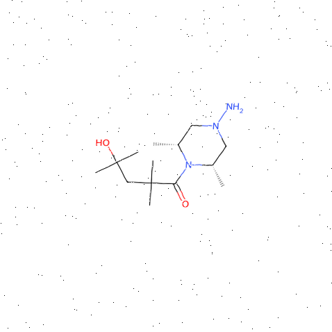 C[C@@H]1CN(N)C[C@H](C)N1C(=O)C(C)(C)CC(C)(C)O